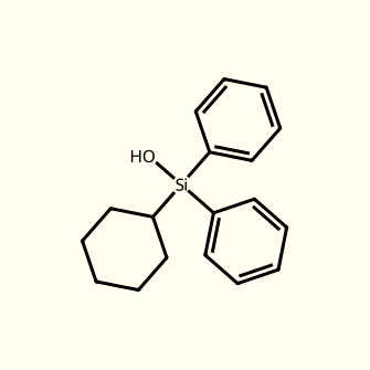 O[Si](c1ccccc1)(c1ccccc1)C1CCCCC1